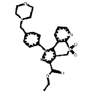 CCOC(=O)c1nn(-c2ccc(CN3CCOCC3)cc2)c2c1CS(=O)(=O)c1ncccc1-2